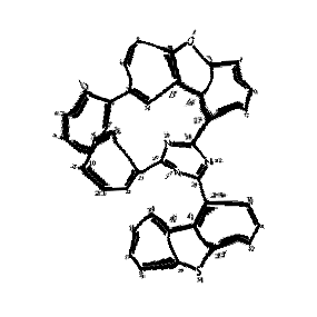 C1=CC2Oc3ccc(-c4ccccc4)cc3C2C(c2nc(-c3ccccc3)nc(-c3cccc4sc5ccccc5c34)n2)=C1